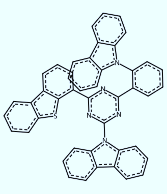 c1ccc(-n2c3ccccc3c3ccccc32)c(-c2nc(-c3cccc4c3sc3ccccc34)nc(-n3c4ccccc4c4ccccc43)n2)c1